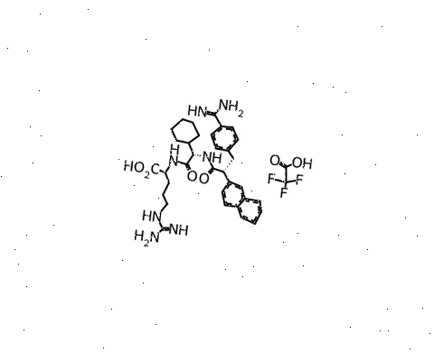 N=C(N)NCCC[C@H](NC(=O)[C@@H](NC(=O)[C@H](Cc1ccc(C(=N)N)cc1)c1ccc2ccccc2c1)C1CCCCC1)C(=O)O.O=C(O)C(F)(F)F